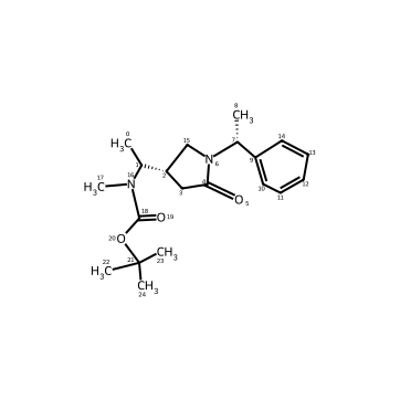 CC([C@H]1CC(=O)N([C@H](C)c2ccccc2)C1)N(C)C(=O)OC(C)(C)C